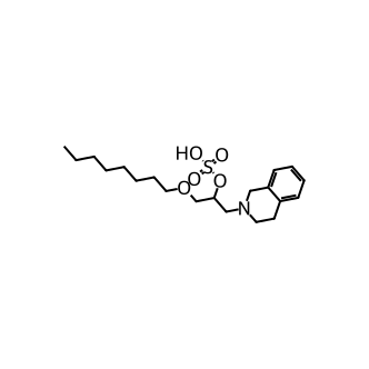 CCCCCCCCOCC(CN1CCc2ccccc2C1)OS(=O)(=O)O